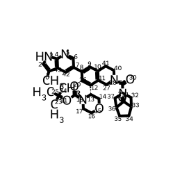 Cc1c[nH]c2ncc(-c3cc4c(c([C@@H]5COCCN5C(=O)OC(C)(C)C)c3)CN(C(=O)N3CC5CCC(C3)C5=O)CC4)cc12